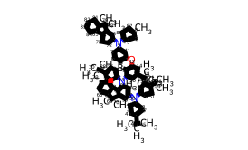 Cc1ccc(N(c2ccc3c(c2)Oc2cc(C(C)(C)C)cc4c2B3c2cc(C(C)(C)C)ccc2N4c2cc(N(c3ccc(C(C)(C)C)cc3)c3ccc(C(C)(C)C)cc3)cc3c2-c2ccccc2C3(C)C)c2ccc3c(c2)C(C)(C)c2ccccc2-3)cc1